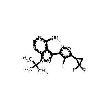 CC(C)(C)n1nc(-c2noc(C3CC3(F)F)c2I)c2c(N)ncnc21